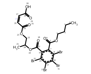 CCCCOC(=O)c1c(Br)c(Br)c(Br)c(Br)c1C(=O)OC(C)COC(=O)/C=C\C(=O)O